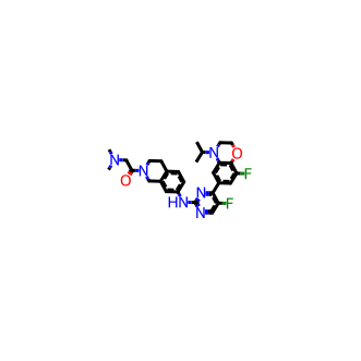 CC(C)N1CCOc2c(F)cc(-c3nc(Nc4ccc5c(c4)CN(C(=O)CN(C)C)CC5)ncc3F)cc21